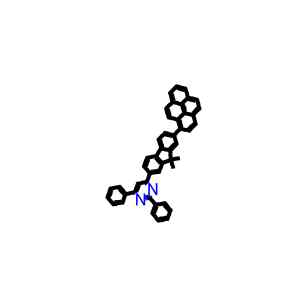 CC1(C)c2cc(-c3cc(-c4ccccc4)nc(-c4ccccc4)n3)ccc2-c2ccc(-c3ccc4ccc5cccc6ccc3c4c56)cc21